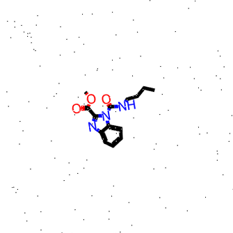 CCCCNC(=O)n1c(C(=O)OC)nc2ccccc21